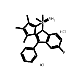 CC1=C(C)C(C)[C]([Zr]([CH3])([CH3])(=[SiH2])[CH]2C=C(c3ccccc3)c3cc(F)ccc32)=C1C.Cl.Cl